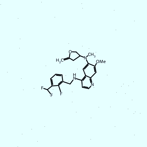 C=C1CC(N(C)c2cc3c(NCc4cccc(C(F)F)c4F)ccnc3cc2OC)CO1